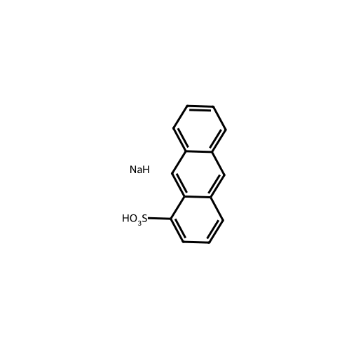 O=S(=O)(O)c1cccc2cc3ccccc3cc12.[NaH]